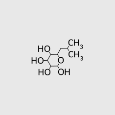 CC(C)CC1OC(O)C(O)C(O)C1O